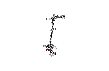 Cc1ncsc1-c1ccc(CNC(=O)[C@@H]2C[C@@H](O)CN2C(=O)[C@@H](NC(=O)CCOCCOCCOCCOCCC(=O)NCCCCn2cnc(-c3cnc(O[C@@H]4CCN(C(=O)Cc5ccc(OC(F)(F)F)cc5)C[C@H]4F)c(C(N)=O)c3)c2)C(C)(C)C)cc1